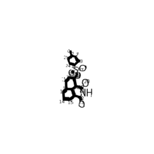 Cc1ccc(S(=O)(=O)Oc2ccc3cccc4c3c2C(=O)NC4=O)cc1